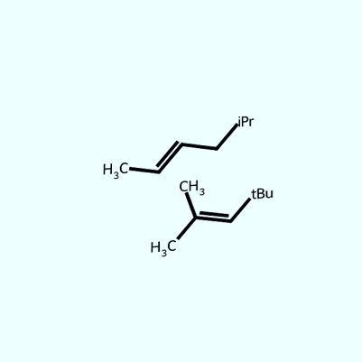 CC(C)=CC(C)(C)C.CC=CCC(C)C